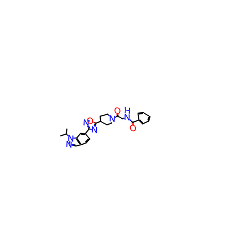 CC(C)n1ncc2ccc(-c3noc(C4CCN(C(=O)CNC(=O)c5ccccc5)CC4)n3)cc21